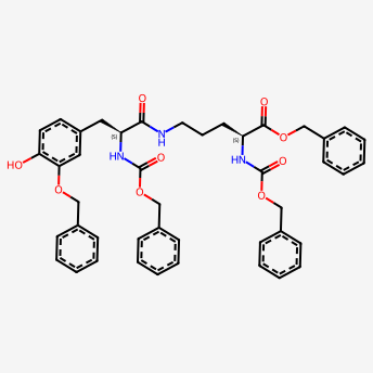 O=C(N[C@@H](Cc1ccc(O)c(OCc2ccccc2)c1)C(=O)NCCC[C@H](NC(=O)OCc1ccccc1)C(=O)OCc1ccccc1)OCc1ccccc1